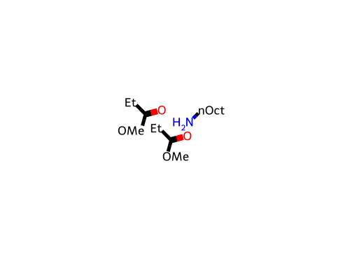 CCC(=O)OC.CCC(=O)OC.CCCCCCCCN